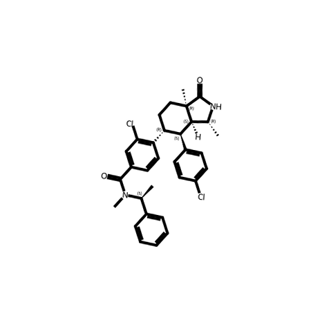 C[C@H]1NC(=O)[C@]2(C)CC[C@@H](c3ccc(C(=O)N(C)[C@@H](C)c4ccccc4)cc3Cl)[C@H](c3ccc(Cl)cc3)[C@H]12